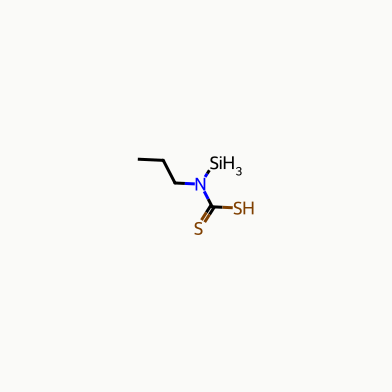 CCCN([SiH3])C(=S)S